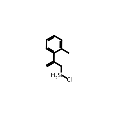 C=C(C[SiH2]Cl)c1ccccc1C